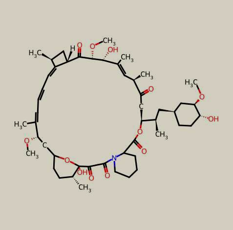 CO[C@H]1CC2CC[C@@H](C)[C@@](O)(O2)C(=O)C(=O)N2CCCCC2C(=O)O[C@H]([C@H](C)C[C@@H]2CC[C@@H](O)[C@H](OC)C2)CC(=O)[C@H](C)/C=C(\C)[C@@H](O)[C@@H](OC)C(=O)[C@H]2C[C@H](C)/C2=C/C=C/C=C/1C